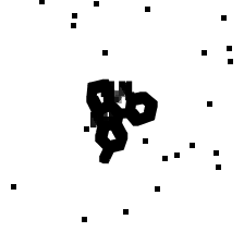 Cc1ccc(C(c2ccccc2N)c2ccccc2N)cc1